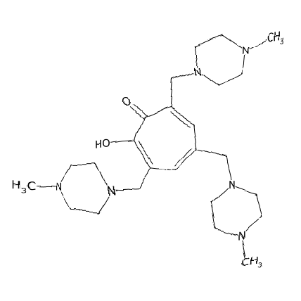 CN1CCN(Cc2cc(CN3CCN(C)CC3)c(O)c(=O)c(CN3CCN(C)CC3)c2)CC1